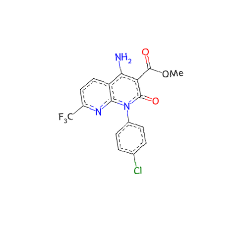 COC(=O)c1c(N)c2ccc(C(F)(F)F)nc2n(-c2ccc(Cl)cc2)c1=O